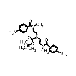 CN(CCN(CCN(C)C(=O)c1ccc(N)cc1)C(=O)OC(C)(C)C)C(=O)c1ccc(N)cc1